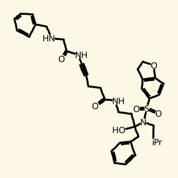 CC(C)CN(C(O)(CCNC(=O)CCC#CNC(=O)CNCc1ccccc1)Cc1ccccc1)S(=O)(=O)c1ccc2c(c1)CCO2